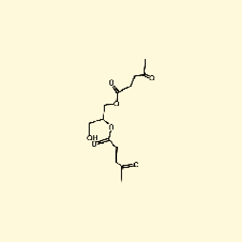 CC(=O)CCC(=O)OCC(CO)OC(=O)CCC(C)=O